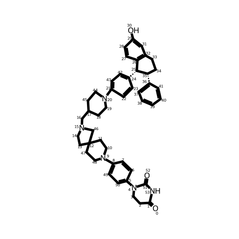 O=C1CCN(c2ccc(N3CCC4(CCN(CC5CCN(c6ccc([C@@H]7c8ccc(O)cc8CC[C@@H]7c7ccccc7)cc6)CC5)C4)CC3)cc2)C(=O)N1